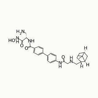 CC1(C)[C@H]2CC[C@@H](CNCC(=O)Nc3ccc(-c4ccc(C(=O)N[C@@H](CN)C(=O)NO)cc4)cc3)[C@@H]1C2